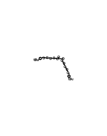 CC(C)(C)c1ccc(COCCOCCOCCOCCOC(=O)CCC(=O)OCCOCCOCCOCCOCc2ccc(C(C)(C)C)cc2)cc1